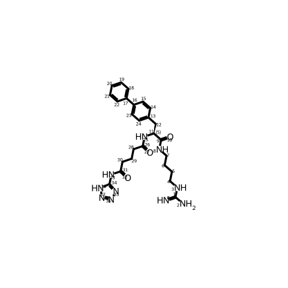 N=C(N)NCCCCNC(=O)[C@H](Cc1ccc(-c2ccccc2)cc1)NC(=O)CCCC(=O)Nc1nnn[nH]1